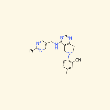 Cc1ccc(N2CCc3ncnc(NCc4cnc(C(C)C)nc4)c3C2)c(C#N)c1